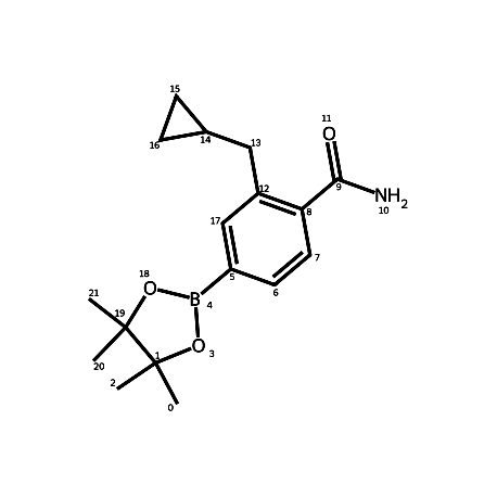 CC1(C)OB(c2ccc(C(N)=O)c(CC3CC3)c2)OC1(C)C